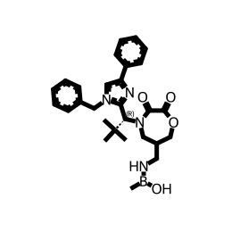 CB(O)NCC1COC(=O)C(=O)N([C@@H](c2nc(-c3ccccc3)cn2Cc2ccccc2)C(C)(C)C)C1